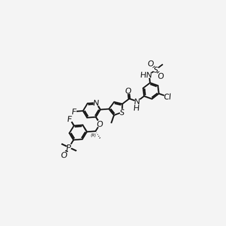 Cc1sc(C(=O)Nc2cc(Cl)cc(NS(C)(=O)=O)c2)cc1-c1ncc(F)cc1O[C@H](C)c1cc(F)cc(P(C)(C)=O)c1